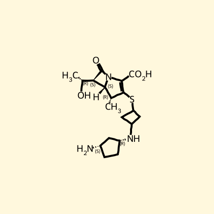 C[C@@H](O)[C@H]1C(=O)N2C(C(=O)O)=C(SC3CC(N[C@@H]4CC[C@H](N)C4)C3)[C@H](C)[C@H]12